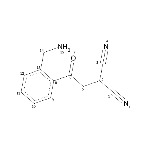 N#CC(C#N)CC(=O)c1ccccc1CN